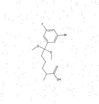 COC(CCCC(C)C(=O)O)(OC)c1cc(F)cc(Br)c1